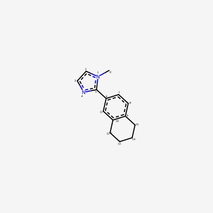 Cn1ccnc1-c1ccc2c(c1)[C]CCC2